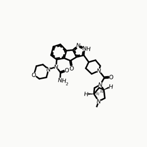 CN1C[C@@H]2C[C@H]1CN2C(=O)N1CCC(c2[nH]nc3c2C(=O)c2c-3cccc2N(C(N)=O)N2CCOCC2)CC1